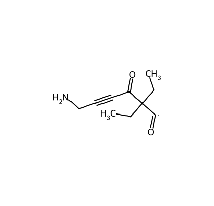 CCC([C]=O)(CC)C(=O)C#CCN